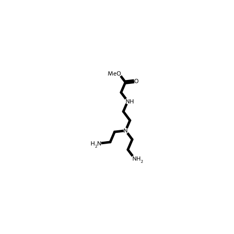 COC(=O)CNCCN(CCN)CCN